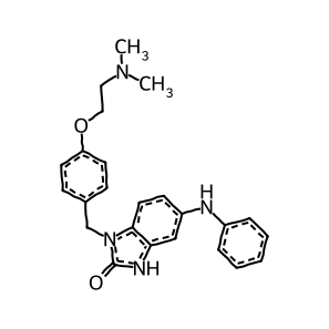 CN(C)CCOc1ccc(Cn2c(=O)[nH]c3cc(Nc4ccccc4)ccc32)cc1